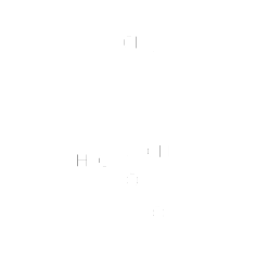 CCc1ccc(C(C)(C)OC=O)cc1